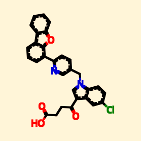 O=C(O)CCC(=O)c1cn(Cc2ccc(-c3cccc4c3oc3ccccc34)nc2)c2ccc(Cl)cc12